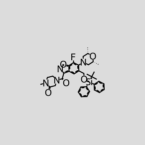 C[C@@H]1CN(c2c(CO[Si](c3ccccc3)(c3ccccc3)C(C)(C)C)cc3c(C(=O)N4CCN(C)C(=O)C4)noc3c2F)C[C@H](C)O1